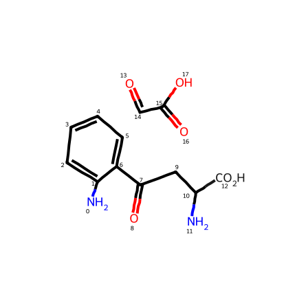 Nc1ccccc1C(=O)CC(N)C(=O)O.O=CC(=O)O